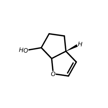 OC1CC[C@@H]2C=COC12